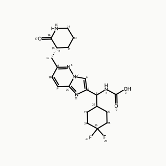 O=C(O)NC(c1cn2nc(C[C@H]3CCCNC3=O)ccc2n1)C1CCC(F)(F)CC1